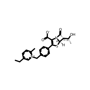 CCc1ccc(C)[n+](Cc2ccc(C3=C(C(=O)[O-])N4C(=O)[C@H]([C@@H](C)O)[C@H]4S3)cc2)c1